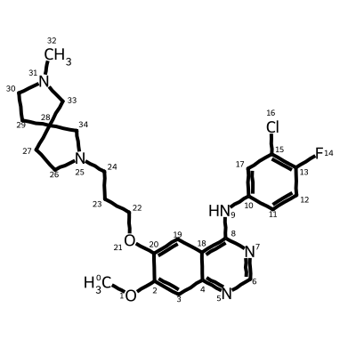 COc1cc2ncnc(Nc3ccc(F)c(Cl)c3)c2cc1OCCCN1CCC2(CCN(C)C2)C1